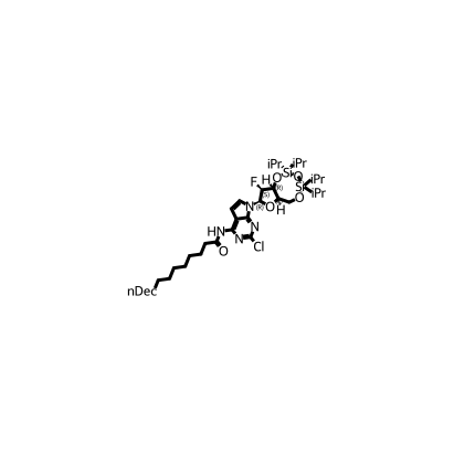 CCCCCCCCCCCCCCCCCC(=O)Nc1nc(Cl)nc2c1ccn2[C@@H]1O[C@@H]2CO[Si](C(C)C)(C(C)C)O[Si](C(C)C)(C(C)C)O[C@H]2[C@@H]1F